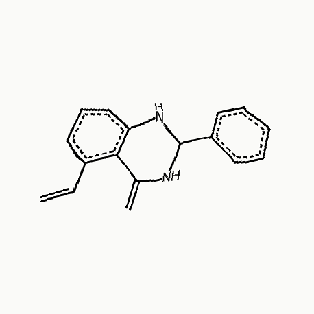 C=Cc1cccc2c1C(=C)NC(c1ccccc1)N2